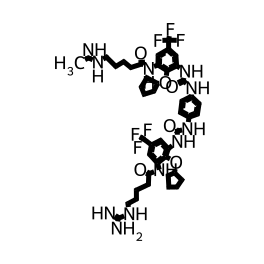 CC(=N)NCCCCC(=O)Nc1cc(C(F)(F)F)cc(NC(=O)Nc2ccc(NC(=O)Nc3cc(C(F)(F)F)cc(NC(=O)CCCCNC(=N)N)c3OC3CCCC3)cc2)c1OC1CCCC1